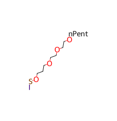 CCCCCOCCOCCOCCCOSI